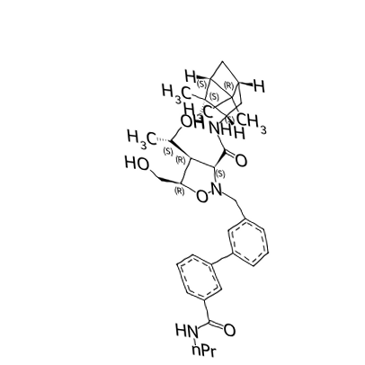 CCCNC(=O)c1cccc(-c2cccc(CN3O[C@@H](CO)[C@@H]([C@H](C)O)[C@H]3C(=O)N[C@H]3C[C@H]4C[C@@H]([C@@H]3C)C4(C)C)c2)c1